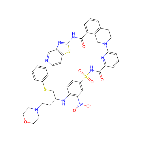 O=C(NS(=O)(=O)c1ccc(N[C@H](CCN2CCOCC2)CSc2ccccc2)c([N+](=O)[O-])c1)c1cccc(N2CCc3cccc(C(=O)Nc4nc5cnccc5s4)c3C2)n1